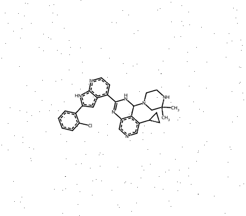 CC1(C)CN(C2NC(c3ccnc4[nH]c(-c5ccccc5Cl)cc34)=Nc3cncc(C4CC4)c32)CCN1